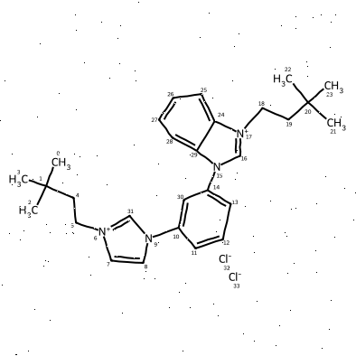 CC(C)(C)CC[n+]1ccn(-c2cccc(-n3c[n+](CCC(C)(C)C)c4ccccc43)c2)c1.[Cl-].[Cl-]